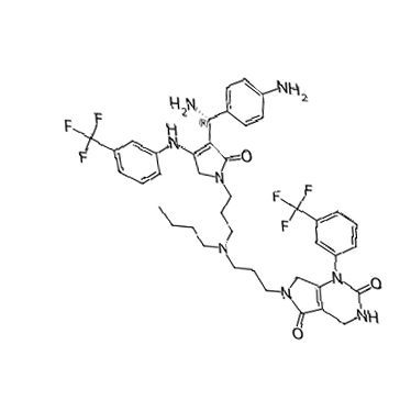 CCCCN(CCCN1CC2=C(CNC(=O)N2c2cccc(C(F)(F)F)c2)C1=O)CCCN1CC(Nc2cccc(C(F)(F)F)c2)=C([C@H](N)c2ccc(N)cc2)C1=O